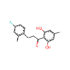 Cc1cc(O)c(C(=O)CCc2ccc(F)cc2C)c(O)c1